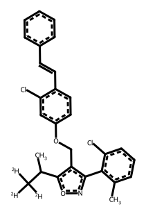 [2H]C([2H])([2H])C(C)c1onc(-c2c(C)cccc2Cl)c1COc1ccc(/C=C/c2ccccc2)c(Cl)c1